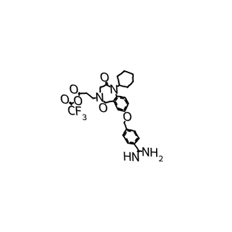 N=C(N)c1ccc(COc2ccc3c(c2)C(=O)N(CCC(=O)OC(=O)C(F)(F)F)CC(=O)N3C2CCCCC2)cc1